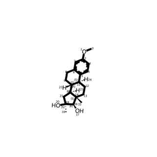 COc1ccc2c(c1)CC[C@@H]1[C@@H]2CC[C@]2(C)[C@@H](O)[C@@](C)(O)C[C@@H]12